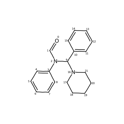 O=CN(c1ccccc1)C(c1ccccc1)N1CCCCC1